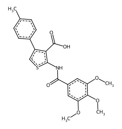 COc1cc(C(=O)Nc2scc(-c3ccc(C)cc3)c2C(=O)O)cc(OC)c1OC